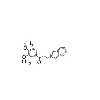 COc1ccc(C(=O)CCN2Cc3ccccc3C2)cc1OC